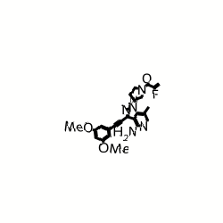 C=C(F)C(=O)N1CC[C@H](n2nc(C#Cc3cc(OC)cc(OC)c3)c3c(N)ncc(C)c32)C1